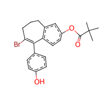 CC(C)(C)C(=O)Oc1ccc2c(c1)CCCC(Br)=C2c1ccc(O)cc1